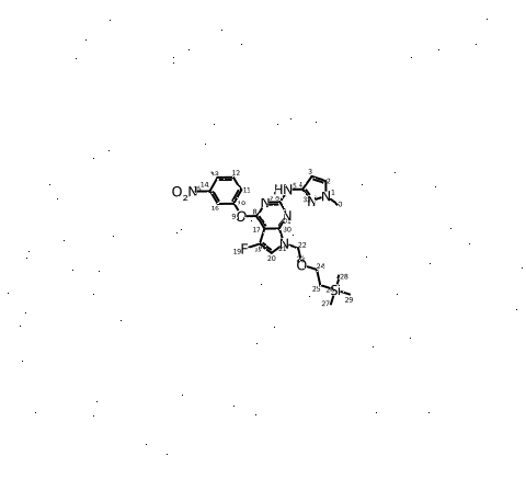 Cn1ccc(Nc2nc(Oc3cccc([N+](=O)[O-])c3)c3c(F)cn(COCC[Si](C)(C)C)c3n2)n1